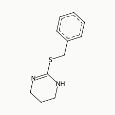 c1ccc(CSC2=NCCCN2)cc1